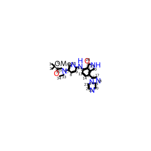 COC(C)(C)[C@H]1CN(c2ccc(Nc3ccc(-c4cnc5cnccn45)c4c3C(=O)NC4)nc2)CCO1